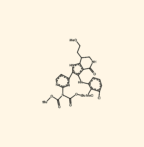 COCCC1CNC(=O)c2c1[nH]c(-c1ccnc(N(C(=O)OC(C)(C)C)C(=O)OC(C)(C)C)n1)c2Nc1cccc(Cl)c1OC